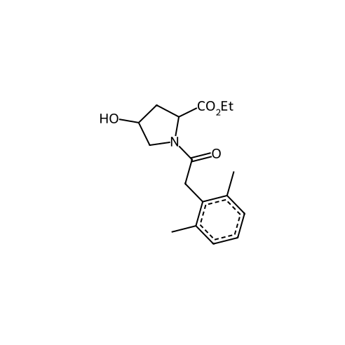 CCOC(=O)C1CC(O)CN1C(=O)Cc1c(C)cccc1C